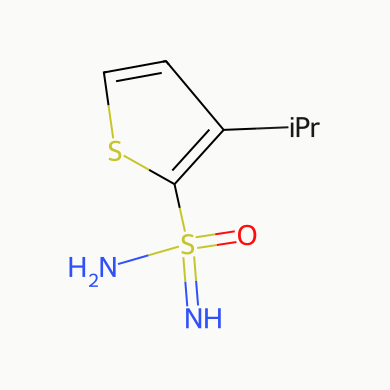 CC(C)c1ccsc1S(=N)(N)=O